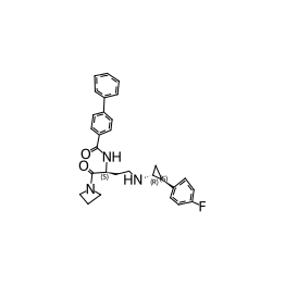 O=C(N[C@@H](CCN[C@@H]1C[C@H]1c1ccc(F)cc1)C(=O)N1CCC1)c1ccc(-c2ccccc2)cc1